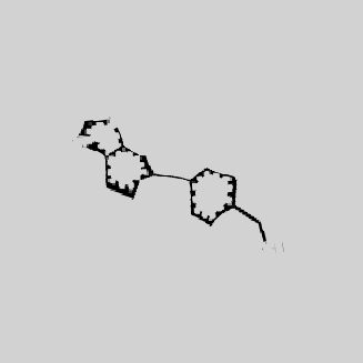 OCc1ccc(-c2ccc3scnc3c2)cc1